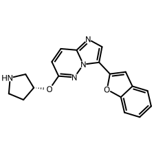 c1ccc2oc(-c3cnc4ccc(O[C@@H]5CCNC5)nn34)cc2c1